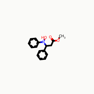 COC(=O)CC(c1ccccc1)N(O)c1ccccc1